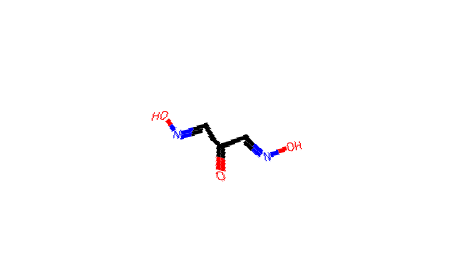 O=C(C=NO)C=NO